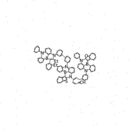 C#C/C=C\C(=C/Cc1cccc(N2c3ccccc3B3c4c2cccc4N(c2ccccc2)c2oc4ccccc4c23)c1)N1c2cccc3c2B(c2ccccc2N3c2cccc(-c3cccc(N4C(CC)=C(c5ccccc5CC)B5c6ccccc6N(c6ccccc6)c6cccc4c65)c3)c2)c2c1sc1ccccc21